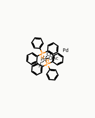 CC(=O)[O][Pd]([CH3])([CH3])([PH](c1ccccc1)(c1ccccc1)c1ccccc1)[PH](c1ccccc1)(c1ccccc1)c1ccccc1.[Pd]